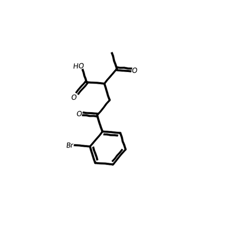 CC(=O)C(CC(=O)c1ccccc1Br)C(=O)O